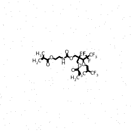 C=CC(=O)OCC(CC)(COC(=O)NCCOC(=O)C(=C)C)C(OC=C(C(F)(F)F)C(F)(F)F)C(F)(F)C(F)(F)F